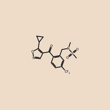 CN(Cc1cc(C(F)(F)F)ccc1C(=O)c1cnoc1C1CC1)S(C)(=O)=O